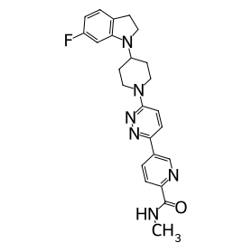 CNC(=O)c1ccc(-c2ccc(N3CCC(N4CCc5ccc(F)cc54)CC3)nn2)cn1